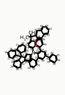 CC1(C)c2ccc(N(c3ccc4c(c3)C(c3ccccc3)(c3ccccc3)c3ccccc3-4)c3c(-c4ccccc4)cc(-c4ccccc4)cc3-c3ccccc3)cc2-c2cc3ccccc3cc21